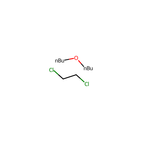 CCCCOCCCC.ClCCCl